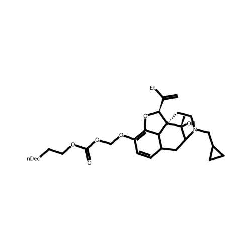 C=C(CC)[C@@H]1OC2=C(OCOC(=O)OCCCCCCCCCCCC)C=CC3CC4N(CC5CC5)CC[C@@]1(C23)[C@]4(C)O